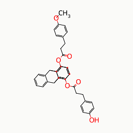 COc1ccc(CCC(=O)Oc2ccc(OC(=O)CCc3ccc(O)cc3)c3c2C2c4ccccc4C3c3ccccc32)cc1